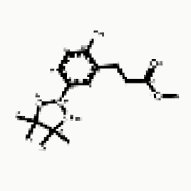 COC(=O)CCc1cc(B2OC(C)(C)C(C)(C)O2)ccc1F